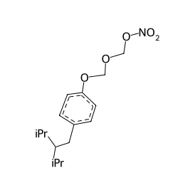 CC(C)C(Cc1ccc(OCOCO[N+](=O)[O-])cc1)C(C)C